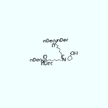 CCCCCCCCCCN(CCCCCCCCCC)C(=O)CCCCCCCN(CCCCCCCC(=O)N(CCCCCCCCCC)CCCCCCCCCC)C[C@H]1CC[C@@H](O)C1